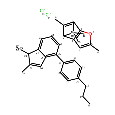 CC1=C2c3oc(C)cc3C1[Si]2(C)C.CCCc1ccc(-c2cccc3c2C=C(C)[CH]3[Zr+2])cc1.[Cl-].[Cl-]